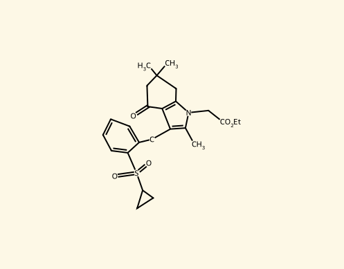 CCOC(=O)Cn1c(C)c(Cc2ccccc2S(=O)(=O)C2CC2)c2c1CC(C)(C)CC2=O